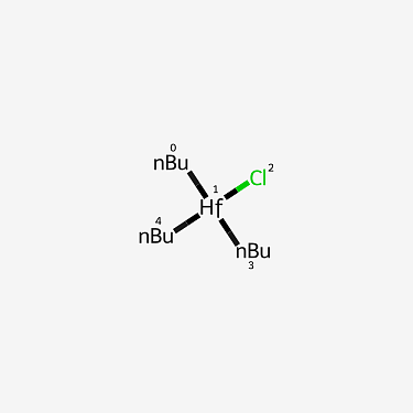 CCC[CH2][Hf]([Cl])([CH2]CCC)[CH2]CCC